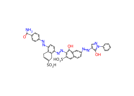 NC(=O)c1ccc(N=Nc2ccc(N=Nc3c(S(=O)(=O)O)cc4ccc(N=Nc5cnn(-c6ccccc6)c5O)cc4c3O)c3c2CC=C(S(=O)(=O)O)C3)cc1